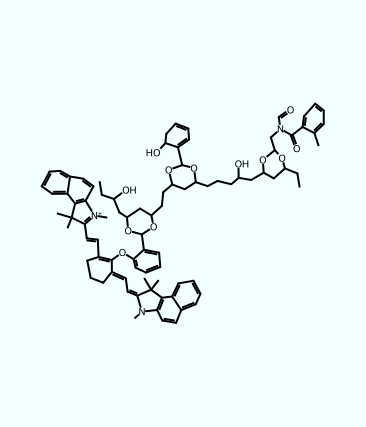 CCC(O)CC1CC(CCC2CC(CCCC(O)CC3CC(CC)OC(CN(C=O)C(=O)c4ccccc4C)O3)OC(C3=CC=CCC3O)O2)OC(c2ccccc2OC2=C(/C=C/C3=[N+](C)c4ccc5ccccc5c4C3(C)C)CCC/C2=C\C=C2\N(C)c3ccc4ccccc4c3C2(C)C)O1